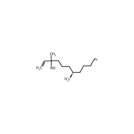 C=CC(C)(CCC[C@H](C)CCCC(C)C)N=O